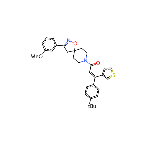 COc1cccc(C2=NOC3(CCN(C(=O)C=C(c4ccc(C(C)(C)C)cc4)c4ccsc4)CC3)C2)c1